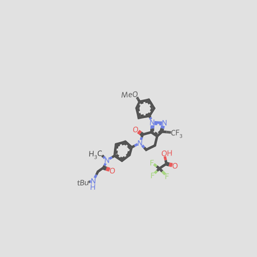 COc1ccc(-n2nc(C(F)(F)F)c3c2C(=O)N(c2ccc(N(C)C(=O)CNC(C)(C)C)cc2)CC3)cc1.O=C(O)C(F)(F)F